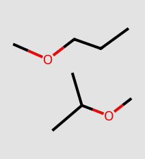 CCCOC.COC(C)C